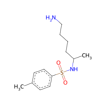 Cc1ccc(S(=O)(=O)NC(C)CCCCN)cc1